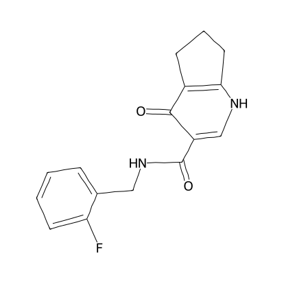 O=C(NCc1ccccc1F)c1c[nH]c2c(c1=O)CCC2